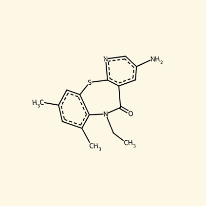 CCN1C(=O)c2cc(N)cnc2Sc2cc(C)cc(C)c21